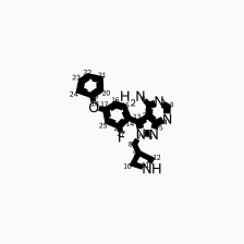 Nc1ncnc2nn(CC3CNC3)c(-c3ccc(Oc4ccccc4)cc3F)c12